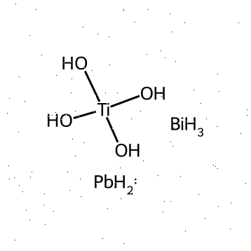 [BiH3].[OH][Ti]([OH])([OH])[OH].[PbH2]